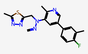 C=NN(Cc1nnc(C)s1)c1cc(-c2ccc(F)c(C)c2)cnc1C